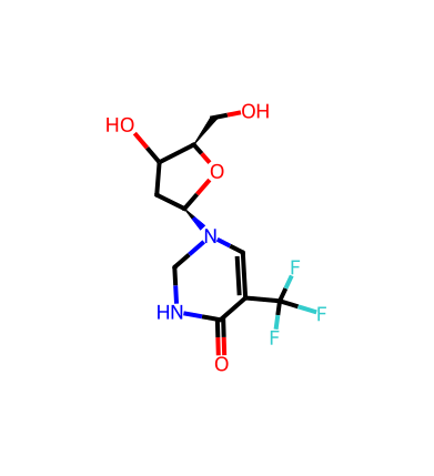 O=C1NCN([C@H]2CC(O)[C@@H](CO)O2)C=C1C(F)(F)F